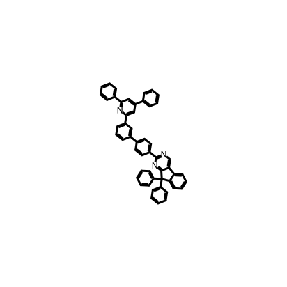 c1ccc(-c2cc(-c3ccccc3)nc(-c3cccc(-c4ccc(-c5ncc6c(n5)C(c5ccccc5)(c5ccccc5)c5ccccc5-6)cc4)c3)c2)cc1